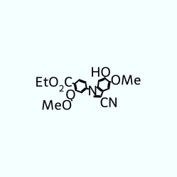 CCOC(=O)c1ccc(-n2cc(C#N)c3cc(OC)c(O)cc32)cc1OCOC